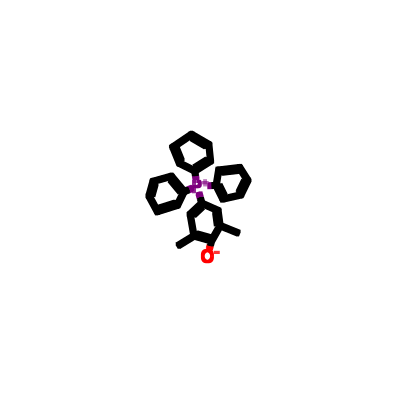 Cc1cc([P+](c2ccccc2)(c2ccccc2)c2ccccc2)cc(C)c1[O-]